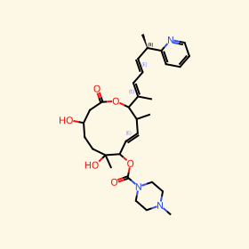 C/C(=C\C=C\[C@@H](C)c1ccccn1)C1OC(=O)CC(O)CCC(C)(O)C(OC(=O)N2CCN(C)CC2)/C=C/C1C